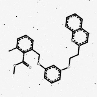 COC(=O)c1c(C)cccc1COc1cccc(OCCc2ccc3ccccc3n2)c1